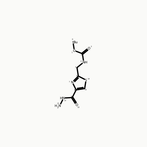 CC(C)(C)OC(=O)NCc1nc(C(=O)NN)cs1